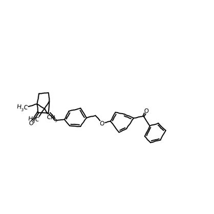 CC12CCC(/C(=C\c3ccc(COc4ccc(C(=O)c5ccccc5)cc4)cc3)C1=O)C2(C)C